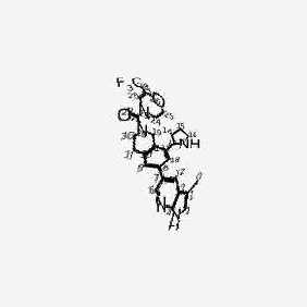 Cc1c[nH]c2ncc(-c3cc4c(c(C5CCCN5)c3)CN(C(=O)N3CCOC(C(F)(F)F)C3)CC4)cc12